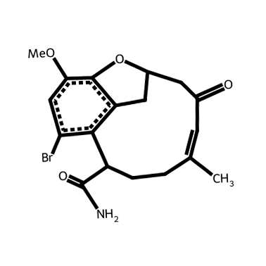 COc1cc(Br)c2c3c1OC(CC(=O)C=C(C)CCC2C(N)=O)C3